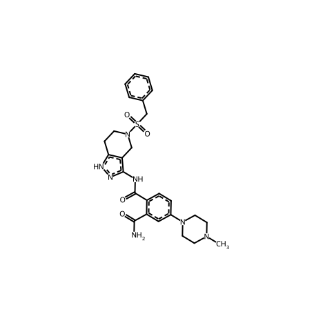 CN1CCN(c2ccc(C(=O)Nc3n[nH]c4c3CN(S(=O)(=O)Cc3ccccc3)CC4)c(C(N)=O)c2)CC1